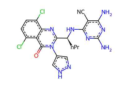 CCC[C@H](Nc1nc(N)nc(N)c1C#N)c1nc2c(Cl)ccc(Cl)c2c(=O)n1-c1cn[nH]c1